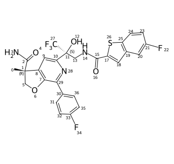 C[C@]1(C(N)=O)COc2c1cc([C@@](O)(CNC(=O)c1cc3cc(F)ccc3s1)C(F)(F)F)nc2-c1ccc(F)cc1